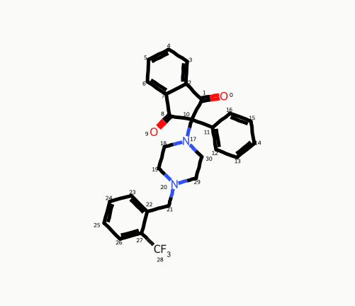 O=C1c2ccccc2C(=O)C1(c1ccccc1)N1CCN(Cc2ccccc2C(F)(F)F)CC1